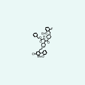 CCOc1cccc(F)c1CN1CCN(C(=O)[C@H](NC(=O)OCc2ccccc2)C2CCN(CCc3cc(Cl)ccc3-c3ccccc3OC)CC2)CC1